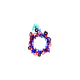 CCO[C@@H]1C[C@H]2C(=O)NC3(CCC3)C(=O)N(C)[C@@H](C3CCCC3)C(=O)N(C)[C@H](C(=O)N(C)C)CC(=O)N(C)[C@@H](CC3CCCC3)C(=O)N[C@@H]([C@@H](C)CC)C(=O)N(C)CC(=O)N(C)[C@H]3C/C=C\CCN(C3=O)[C@@H](Cc3ccc(C)cc3)C(=O)N(C)CC(=O)N[C@@H](CCc3cc(F)c(C(F)(F)F)c(F)c3)C(=O)N2C1